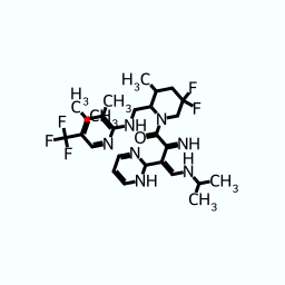 C\C=C(/C=N\C(NCC1C(C)CC(F)(F)CN1C(=O)C(=N)/C(=C\NC(C)C)C1N=CC=CN1)=C(\C)CC)C(F)(F)F